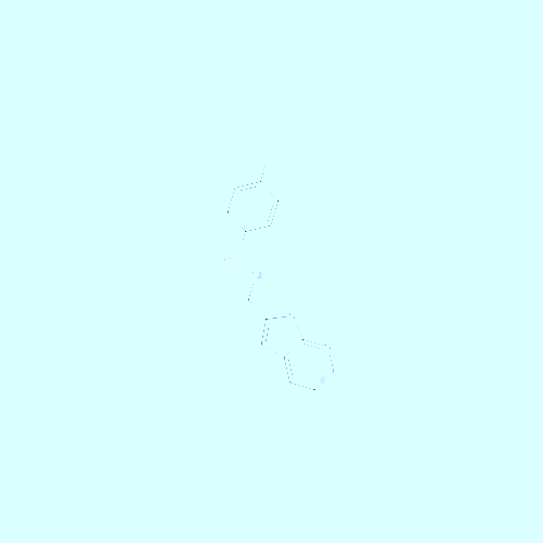 [O-][S+](NCc1cc2cccnc2[nH]1)c1ccc(Br)cc1